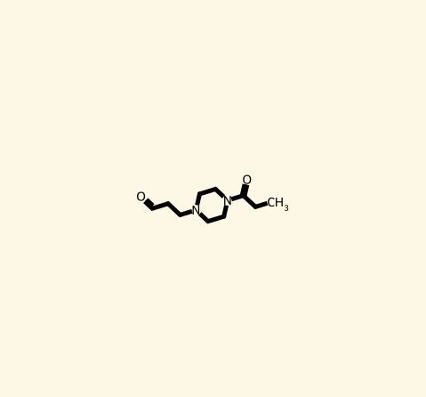 CCC(=O)N1CCN(CCC=O)CC1